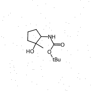 CC(C)(C)OC(=O)NC1CCCC1(C)O